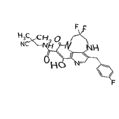 CC(C)(C#N)CNC(=O)c1c(O)c2ncc(Cc3ccc(F)cc3)c3c2n(c1=O)CC(F)(F)CN3